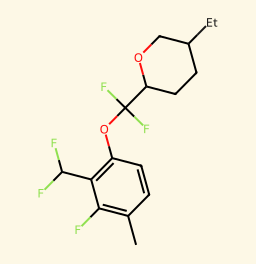 CCC1CCC(C(F)(F)Oc2ccc(C)c(F)c2C(F)F)OC1